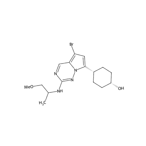 COCC(C)Nc1ncc2c(Br)cc([C@H]3CC[C@@H](O)CC3)n2n1